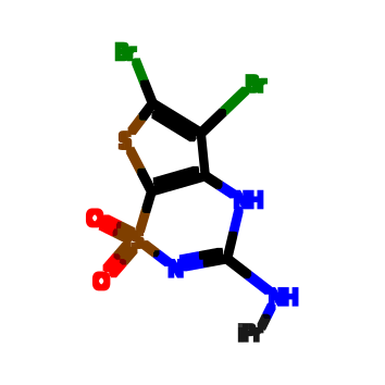 CC(C)NC1=NS(=O)(=O)c2sc(Br)c(Br)c2N1